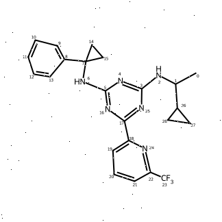 CC(Nc1nc(NC2(c3ccccc3)CC2)nc(-c2cccc(C(F)(F)F)n2)n1)C1CC1